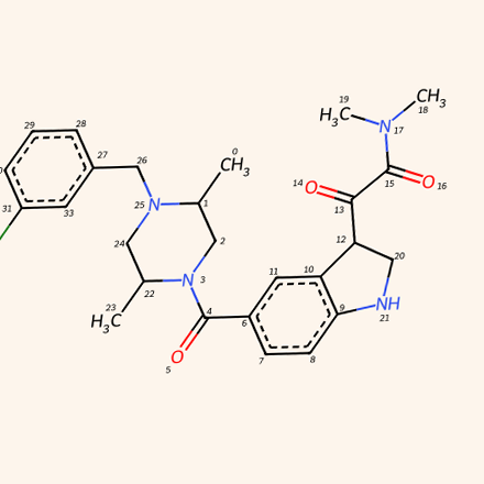 CC1CN(C(=O)c2ccc3c(c2)C(C(=O)C(=O)N(C)C)CN3)C(C)CN1Cc1cccc(Cl)c1